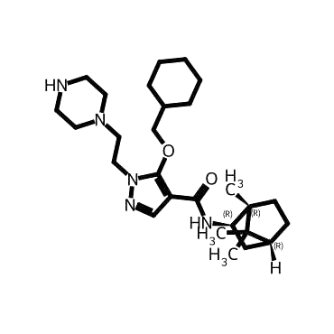 CC1(C)[C@@H]2CC[C@@]1(C)[C@H](NC(=O)c1cnn(CCN3CCNCC3)c1OCC1CCCCC1)C2